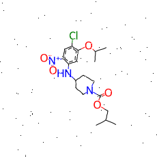 CC(C)COC(=O)N1CCC(Nc2cc(OC(C)C)c(Cl)cc2[N+](=O)[O-])CC1